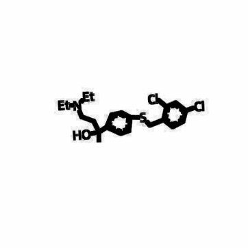 CCN(CC)CCC(C)(O)c1ccc(SCc2ccc(Cl)cc2Cl)cc1